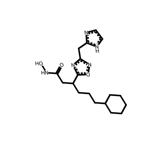 O=C(CC(CCCC1CCCCC1)c1nc(Cc2ncc[nH]2)no1)NO